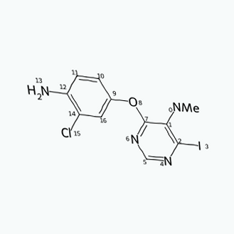 CNc1c(I)ncnc1Oc1ccc(N)c(Cl)c1